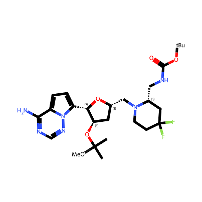 COC(C)(C)O[C@@H]1C[C@@H](CN2CCC(F)(F)C[C@H]2CNC(=O)OC(C)(C)C)O[C@H]1c1ccc2c(N)ncnn12